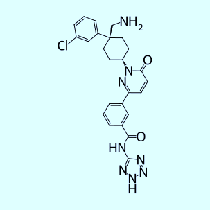 NC[C@]1(c2cccc(Cl)c2)CC[C@H](n2nc(-c3cccc(C(=O)Nc4nn[nH]n4)c3)ccc2=O)CC1